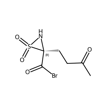 CC(=O)CC[C@@]1(C(=O)Br)NS1(=O)=O